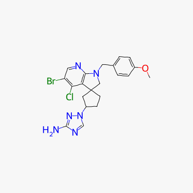 COc1ccc(CN2CC3(CCC(n4cnc(N)n4)C3)c3c2ncc(Br)c3Cl)cc1